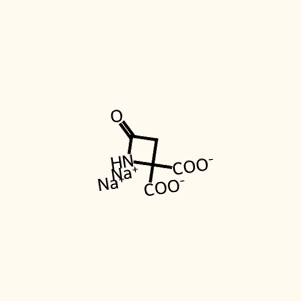 O=C1CC(C(=O)[O-])(C(=O)[O-])N1.[Na+].[Na+]